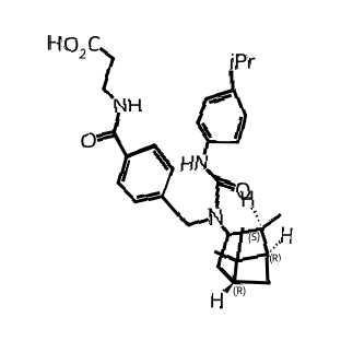 CC(C)c1ccc(NC(=O)N(Cc2ccc(C(=O)NCCC(=O)O)cc2)C2C[C@H]3C[C@H]([C@@H]2C)C3(C)C)cc1